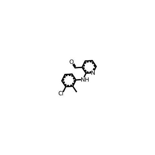 Cc1c(Cl)cccc1Nc1ncccc1C=O